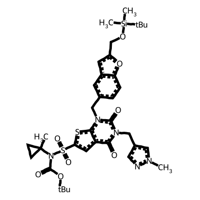 Cn1cc(Cn2c(=O)c3cc(S(=O)(=O)N(C(=O)OC(C)(C)C)C4(C)CC4)sc3n(Cc3ccc4oc(CO[Si](C)(C)C(C)(C)C)cc4c3)c2=O)cn1